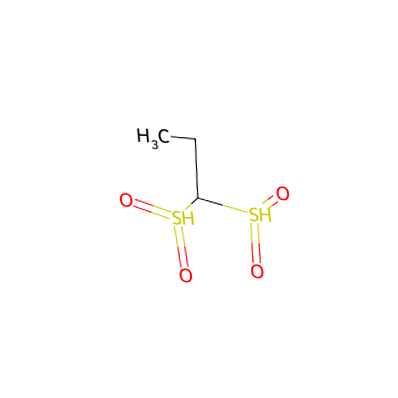 CCC([SH](=O)=O)[SH](=O)=O